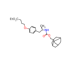 CCOC(=O)CCCOc1ccc(C[C@@H](C)NC(=O)OCC23CC4CC(CC(C4)C2)C3)cc1